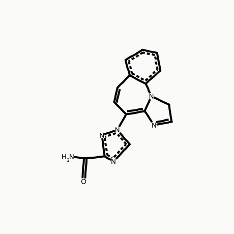 NC(=O)c1ncn(C2=C3N=CCN3c3ccccc3C=C2)n1